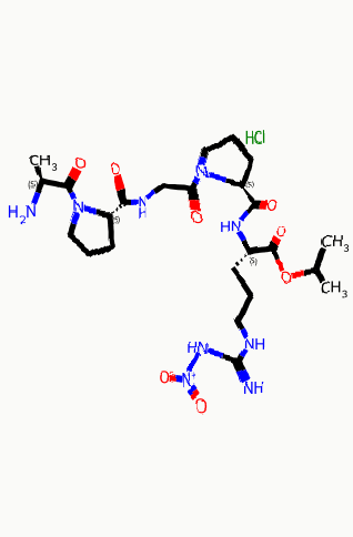 CC(C)OC(=O)[C@H](CCCNC(=N)N[N+](=O)[O-])NC(=O)[C@@H]1CCCN1C(=O)CNC(=O)[C@@H]1CCCN1C(=O)[C@H](C)N.Cl